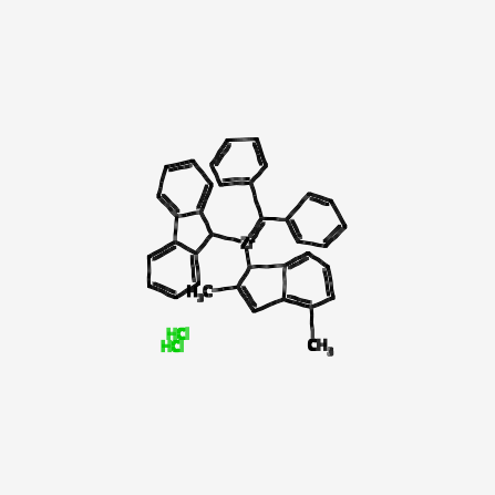 CC1=Cc2c(C)cccc2[CH]1[Zr](=[C](c1ccccc1)c1ccccc1)[CH]1c2ccccc2-c2ccccc21.Cl.Cl